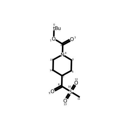 CC(C)(C)OC(=O)N1CCC(C(=O)S(C)(=O)=O)CC1